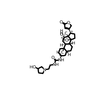 C[C@]12CC[C@H](NC(=O)NCCN3CCC(O)C3)C[C@H]1CC[C@@H]1[C@@H]2C[C@@H](O)[C@]2(C)[C@@H](C3=CC(=O)OC3)CC[C@]12O